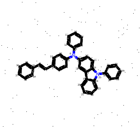 C(=Cc1ccc(N(c2ccccc2)c2ccc3c(c2)c2ccccc2n3-c2ccccc2)cc1)c1ccccc1